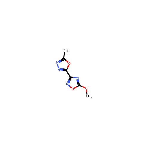 COc1nc(-c2nnc(C)o2)no1